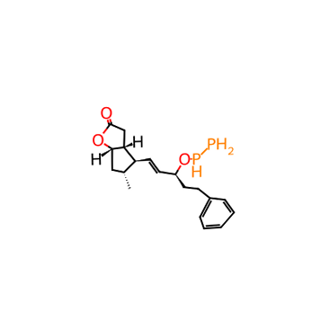 C[C@@H]1C[C@@H]2OC(=O)C[C@@H]2[C@H]1/C=C/[C@H](CCc1ccccc1)OPP